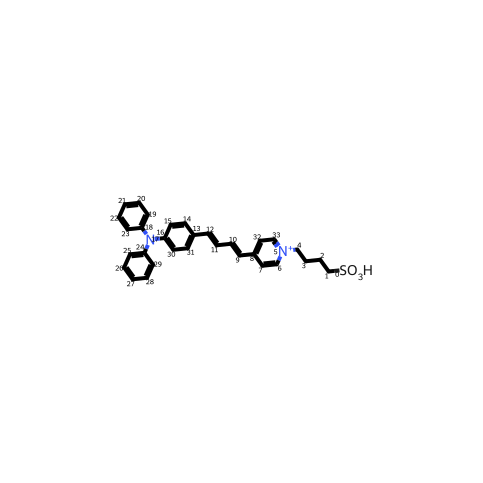 O=S(=O)(O)CCCC[n+]1ccc(C=CC=Cc2ccc(N(c3ccccc3)c3ccccc3)cc2)cc1